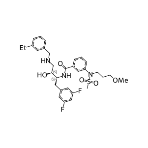 CCc1cccc(CNC[C@H](O)[C@H](Cc2cc(F)cc(F)c2)NC(=O)c2cccc(N(CCCOC)S(C)(=O)=O)c2)c1